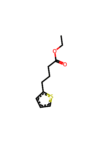 CCOC(=O)CCCc1cccs1